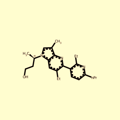 CCCc1ccc(-c2nc3c(C)cn([C@H](C)CCO)c3cc2CC)c(CC)n1